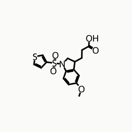 COc1ccc2c(c1)C(CCC(=O)O)CN2S(=O)(=O)c1ccsc1